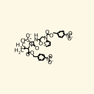 C=C(C)C(C(=O)OCc1ccc([N+](=O)[O-])cc1)N1C(=O)C(NC(=O)CN(C(=O)OCc2ccc([N+](=O)[O-])cc2)c2cccs2)C1[S+]([O-])Cl